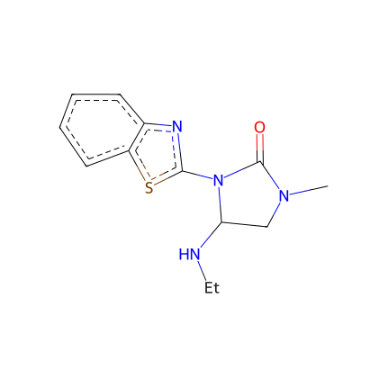 CCNC1CN(C)C(=O)N1c1nc2ccccc2s1